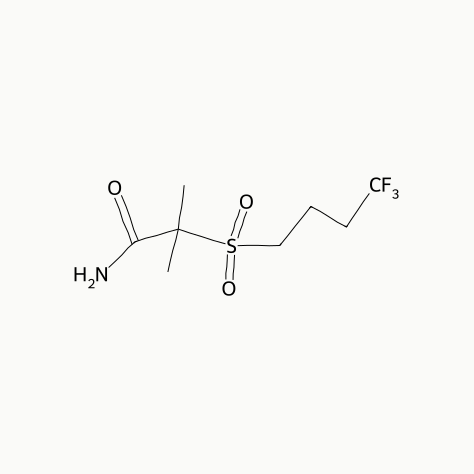 CC(C)(C(N)=O)S(=O)(=O)CCCC(F)(F)F